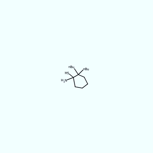 CCCCC1(CCCC)CCCCC1(N)S